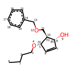 CCCCO[C@H]1C=C[C@@H](O)[C@@H]1COCc1ccccc1